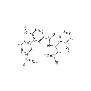 COc1ncc(C(=O)NC(CC(=O)O)c2ccccc2Cl)cc1-c1cccc(C(C)=O)c1